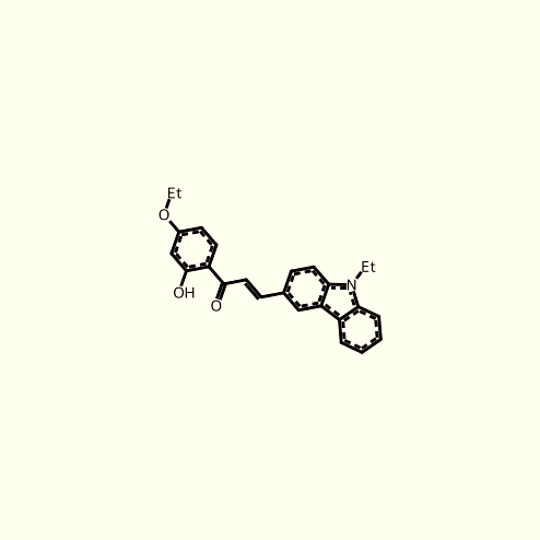 CCOc1ccc(C(=O)/C=C/c2ccc3c(c2)c2ccccc2n3CC)c(O)c1